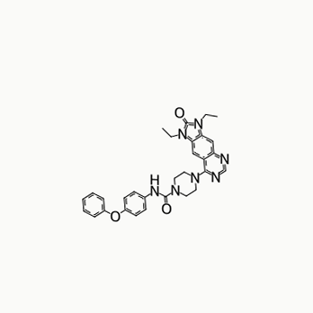 CCn1c(=O)n(CC)c2cc3c(N4CCN(C(=O)Nc5ccc(Oc6ccccc6)cc5)CC4)ncnc3cc21